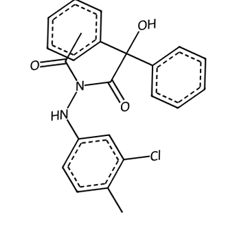 CC(=O)N(Nc1ccc(C)c(Cl)c1)C(=O)C(O)(c1ccccc1)c1ccccc1